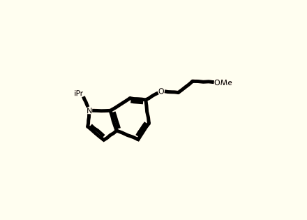 COCCOc1ccc2ccn(C(C)C)c2c1